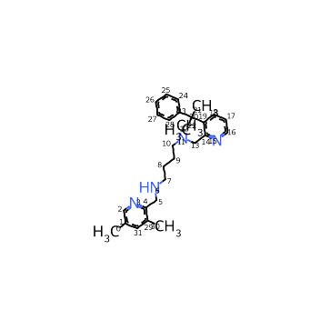 Cc1cnc(CNCCCCN(C)Cc2ncccc2C(C)(C)c2ccccc2)c(C)c1